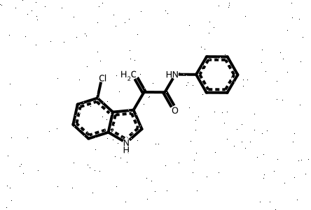 C=C(C(=O)Nc1ccccc1)c1c[nH]c2cccc(Cl)c12